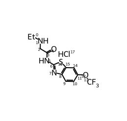 CCNCC(=O)Nc1nc2ccc(OC(F)(F)F)cc2s1.Cl